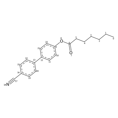 CCCCCCC(=O)Oc1ccc(-c2ccc(C#N)cc2)cc1